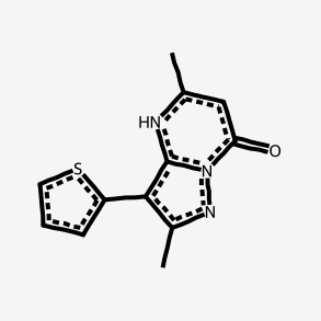 Cc1cc(=O)n2nc(C)c(-c3cccs3)c2[nH]1